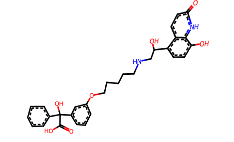 O=C(O)C(O)(c1ccccc1)c1cccc(OCCCCCNCC(O)c2ccc(O)c3[nH]c(=O)ccc23)c1